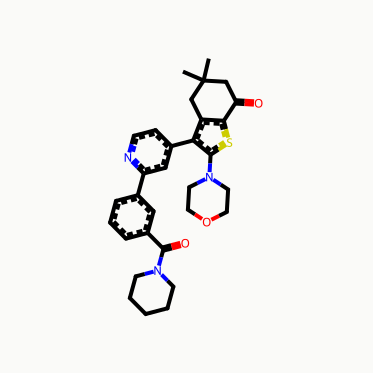 CC1(C)CC(=O)c2sc(N3CCOCC3)c(-c3ccnc(-c4cccc(C(=O)N5CCCCC5)c4)c3)c2C1